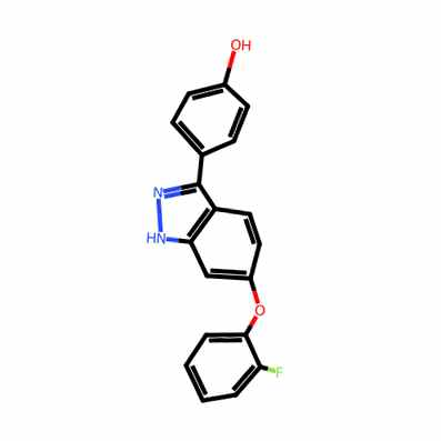 Oc1ccc(-c2n[nH]c3cc(Oc4ccccc4F)ccc23)cc1